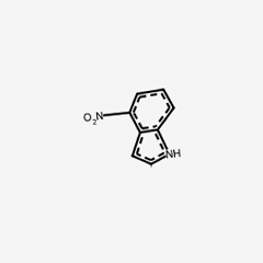 O=[N+]([O-])c1cccc2[nH][c]cc12